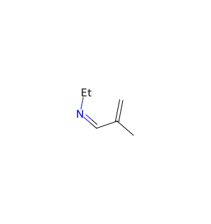 C=C(C)/C=N\CC